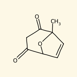 CC12C=CC(O1)C(=O)CC2=O